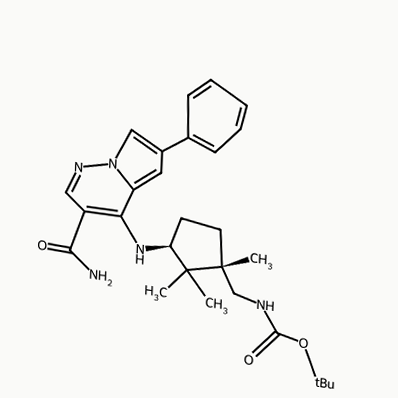 CC(C)(C)OC(=O)NC[C@@]1(C)CC[C@H](Nc2c(C(N)=O)cnn3cc(-c4ccccc4)cc23)C1(C)C